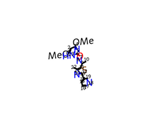 COC1=CC(OC)=NC(O/N=C(\C)c2sc(-c3cccnc3)nc2C)N1